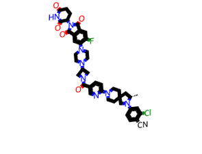 C[C@H]1CC2(CCN(c3ccc(C(=O)N4CC(N5CCN(c6cc7c(cc6F)C(=O)N(C6CCC(=O)NC6=O)C7=O)CC5)C4)cn3)CC2)CN1c1ccc(C#N)c(Cl)c1